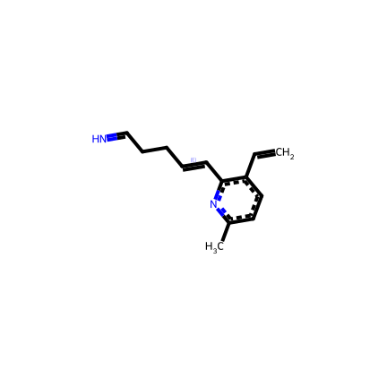 C=Cc1ccc(C)nc1/C=C/CCC=N